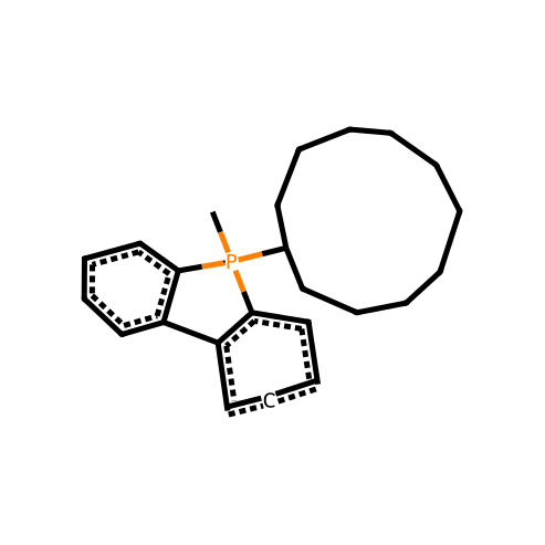 C[P]1(C2CCCCCCCCCC2)c2ccccc2-c2ccccc21